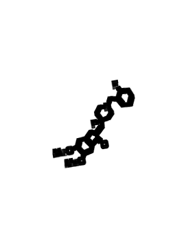 COc1cc2c(cc1OC)C(=O)C(=CC1(F)CCN(Cc3ccccc3F)CC1)C2